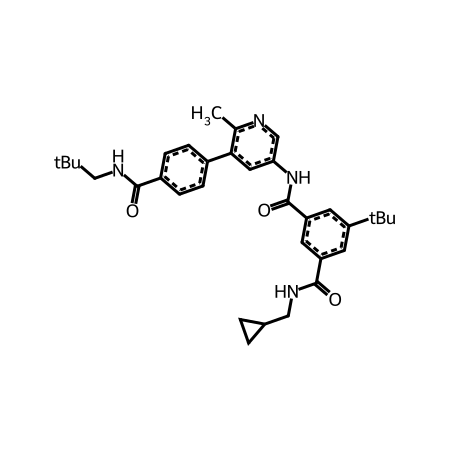 Cc1ncc(NC(=O)c2cc(C(=O)NCC3CC3)cc(C(C)(C)C)c2)cc1-c1ccc(C(=O)NCC(C)(C)C)cc1